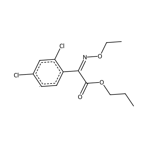 CCCOC(=O)C(=NOCC)c1c[c]c(Cl)cc1Cl